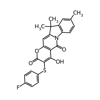 Cc1ccc2c(c1)C(C)(C)c1cc3oc(=O)c(Sc4ccc(F)cc4)c(O)c3c(=O)n1-2